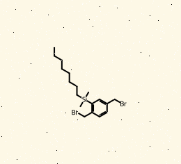 CCCCCCCC[Si](C)(C)c1cc(CBr)ccc1CBr